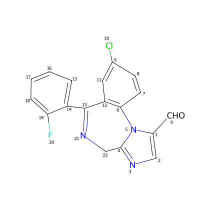 O=Cc1cnc2n1-c1ccc(Cl)cc1C(c1ccccc1F)=NC2